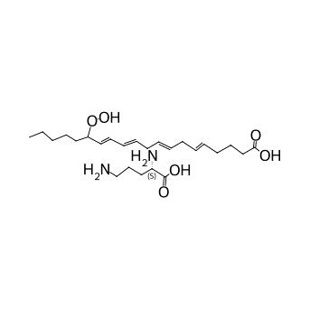 CCCCCC(C=CC=CCC=CCC=CCCCC(=O)O)OO.NCCC[C@H](N)C(=O)O